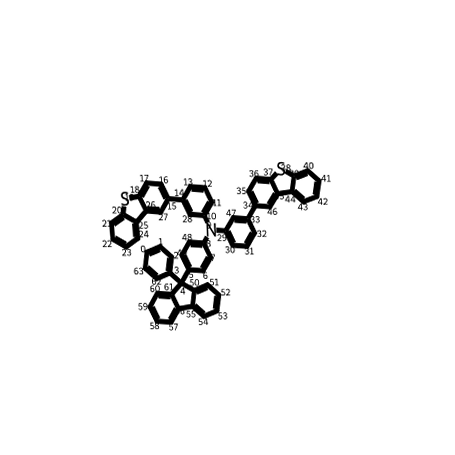 c1ccc(C2(c3ccc(N(c4cccc(-c5ccc6sc7ccccc7c6c5)c4)c4cccc(-c5ccc6sc7ccccc7c6c5)c4)cc3)c3ccccc3-c3ccccc32)cc1